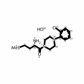 CSCC[C@H](N)C(=O)N1CCN(c2ccccc2Cl)CC1.Cl